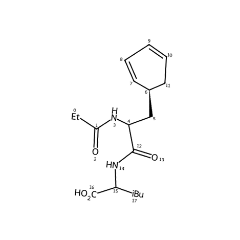 CCC(=O)NC(C[C@H]1C=CC=CC1)C(=O)NC(C(=O)O)C(C)CC